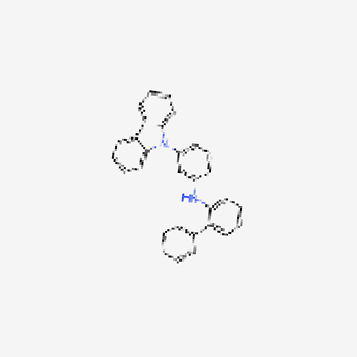 c1ccc(-c2ccccc2Nc2cccc(-n3c4ccccc4c4ccccc43)c2)cc1